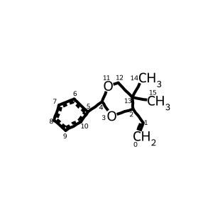 C=CC1OC(c2ccccc2)OCC1(C)C